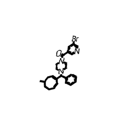 CC1CC=C(C(c2ccccc2)N2CCN(C(=O)c3cncc(Br)c3)CC2)C=CCC1